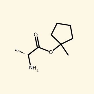 C[C@@H](N)C(=O)OC1(C)CCCC1